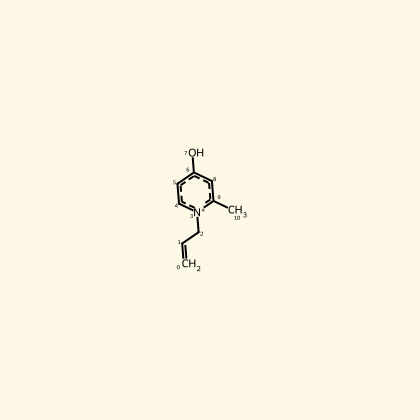 C=CC[n+]1ccc(O)cc1C